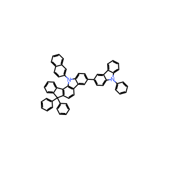 c1ccc(-n2c3ccccc3c3cc(-c4ccc5c(c4)c4ccc6c(c4n5-c4ccc5ccccc5c4)-c4ccccc4C6(c4ccccc4)c4ccccc4)ccc32)cc1